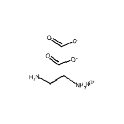 NCCN.O=C[O-].O=C[O-].[Ni+2]